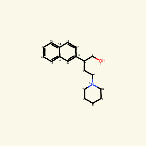 OCC(CCN1CCCCC1)c1ccc2ccccc2c1